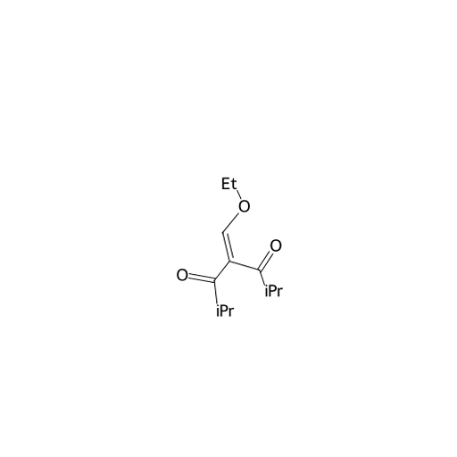 CCOC=C(C(=O)C(C)C)C(=O)C(C)C